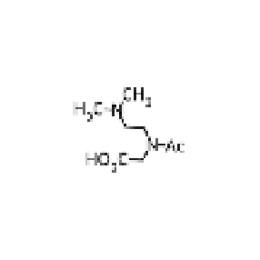 CC(=O)N(CCN(C)C)CC(=O)O